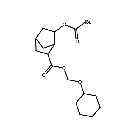 CCC(C)C(=O)OC1CC2CC(C(=O)OCOC3CCCCC3)C1C2